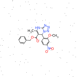 COc1cc([N+](=O)[O-])ccc1C1C(C(=O)OCc2ccccc2)=C(C)Nc2nnnn21